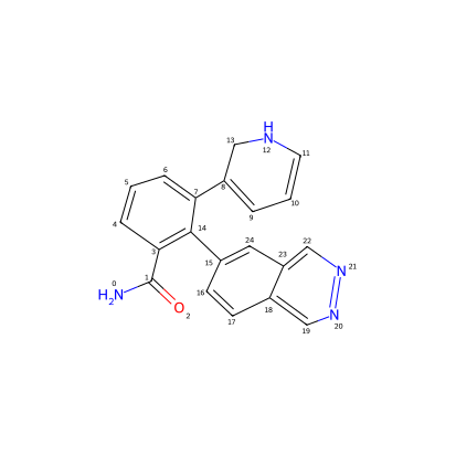 NC(=O)c1cccc(C2=CC=CNC2)c1-c1ccc2cnncc2c1